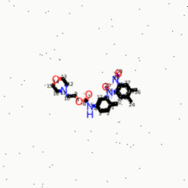 C=C1C=CC(NC(=O)OCCN2CCOCC2)=C/C1=[N+](\[O-])c1cc(C)c(C)cc1N=O